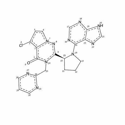 O=c1c2c(Cl)ccn2nc([C@@H]2CCCN2c2ncnc3[nH]cnc23)n1Cc1ncccn1